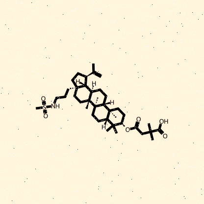 C=C(C)[C@@H]1CC[C@]2(CCCNS(C)(=O)=O)CC[C@]3(C)[C@H](CC[C@@H]4[C@@]5(C)CC[C@H](OC(=O)CC(C)(C)C(=O)O)C(C)(C)[C@@H]5CC[C@]43C)[C@@H]12